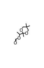 CC(OC=O)C1(C)OCC(C)(C)CO1